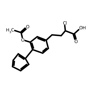 CC(=O)Oc1cc(CCC(Cl)C(=O)O)ccc1-c1ccccc1